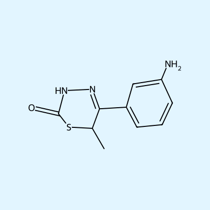 CC1SC(=O)NN=C1c1cccc(N)c1